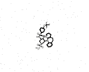 CS(=O)(=O)N1CC(NS(=N)(=O)c2ccc(OC(F)(F)F)cc2)C(O)C(N2c3ccccc3CCc3ccccc32)C1